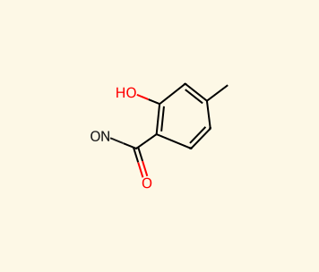 Cc1ccc(C(=O)N=O)c(O)c1